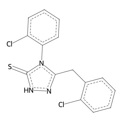 S=c1[nH]nc(Cc2ccccc2Cl)n1-c1ccccc1Cl